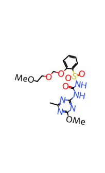 COCCOCOc1ccccc1S(=O)(=O)NC(=O)Nc1nc(C)nc(OC)n1